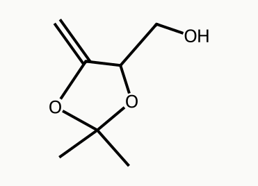 C=C1OC(C)(C)OC1CO